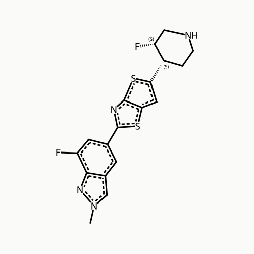 Cn1cc2cc(-c3nc4sc([C@H]5CCNC[C@H]5F)cc4s3)cc(F)c2n1